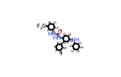 Cc1cccc(-c2cc(Nc3ccccc3)ccc2NC(=O)Nc2cccc(C(F)(F)F)c2)c1